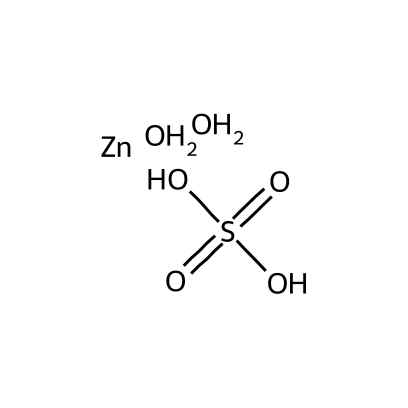 O.O.O=S(=O)(O)O.[Zn]